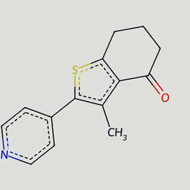 Cc1c(-c2ccncc2)sc2c1C(=O)CCC2